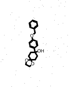 OC1(c2ccc(OCc3ccccc3)cc2)CCC2(CC1)OCCO2